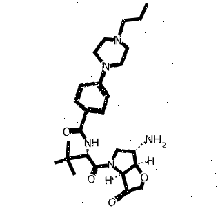 CCCN1CCN(c2ccc(C(=O)N[C@H](C(=O)N3C[C@H](N)[C@H]4OCC(=O)[C@H]43)C(C)(C)C)cc2)CC1